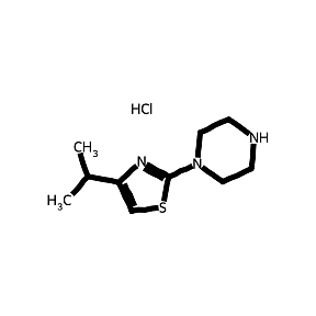 CC(C)c1csc(N2CCNCC2)n1.Cl